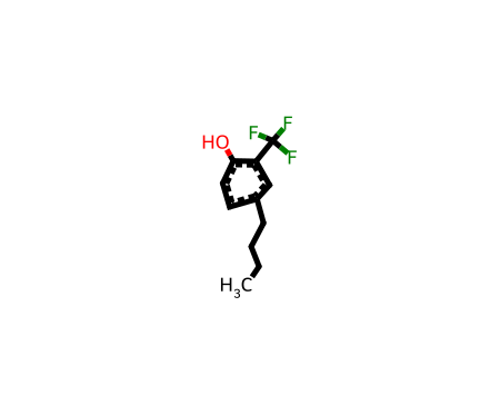 CCCCc1ccc(O)c(C(F)(F)F)c1